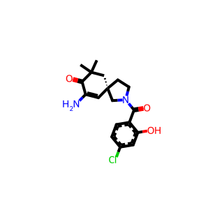 CC1(C)C[C@]2(C=C(N)C1=O)CCN(C(=O)c1ccc(Cl)cc1O)C2